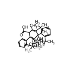 CC1=C(C(C)(C)C)C(O)(c2ccccc2C(C)(C)C)C(C(C)(C)C)=C(c2ccccc2C(C)(C)C)C1C(=O)O